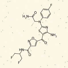 C[C@H](C(N)=O)N(c1ccc(F)cc1)c1nc(N)c(C(=O)c2cc(C(=O)NC(CF)CF)no2)s1